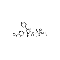 CC(C)(CCS(N)(=O)=O)c1nc(-c2ccncc2)c(-c2ccc3c(c2)CCC3=O)[nH]1